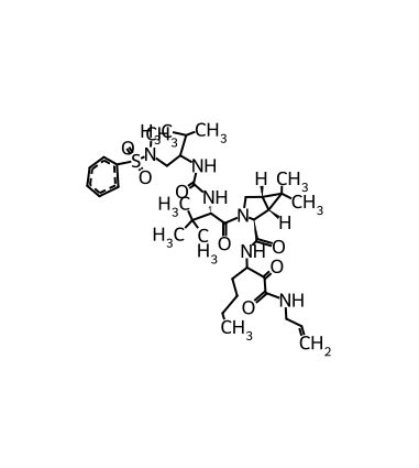 C=CCNC(=O)C(=O)C(CCCC)NC(=O)[C@@H]1[C@@H]2[C@H](CN1C(=O)[C@@H](NC(=O)NC(CN(C)S(=O)(=O)c1ccccc1)C(C)C)C(C)(C)C)C2(C)C